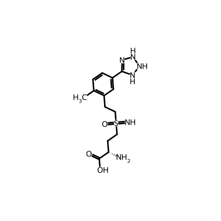 Cc1ccc(C2=NNNN2)cc1CCS(=N)(=O)CC[C@H](N)C(=O)O